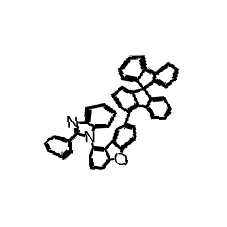 c1ccc(-c2nc3ccccc3n2-c2cccc3oc4ccc(-c5cccc6c5-c5ccccc5C65c6ccccc6-c6ccccc65)cc4c23)cc1